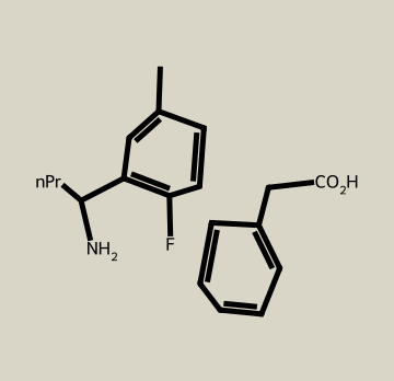 CCCC(N)c1cc(C)ccc1F.O=C(O)Cc1ccccc1